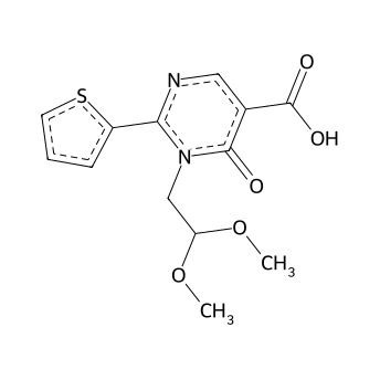 COC(Cn1c(-c2cccs2)ncc(C(=O)O)c1=O)OC